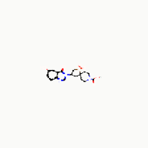 CC(C)(C)OC(=O)N1CCC2(CC1)CC(n1cnc3ccc(O)cc3c1=O)CS2(=O)=O